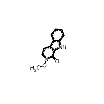 COn1ccc2c([nH]c3ccccc32)c1=O